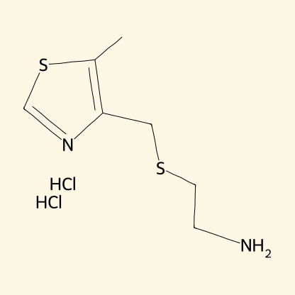 Cc1scnc1CSCCN.Cl.Cl